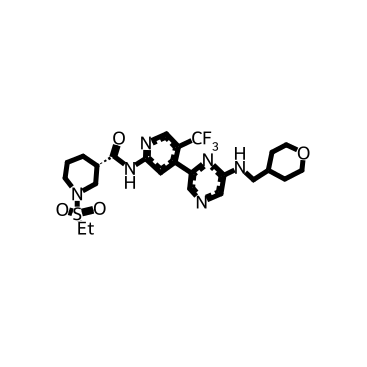 CCS(=O)(=O)N1CCC[C@H](C(=O)Nc2cc(-c3cncc(NCC4CCOCC4)n3)c(C(F)(F)F)cn2)C1